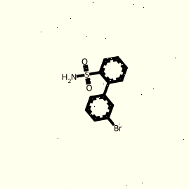 NS(=O)(=O)c1ccccc1-c1cccc(Br)c1